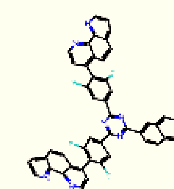 Fc1cc(-c2nc(-c3cc(F)c(-c4ccnc5c4ccc4cccnc45)c(F)c3)nc(-c3ccc4ccccc4c3)n2)cc(F)c1-c1ccnc2c1ccc1cccnc12